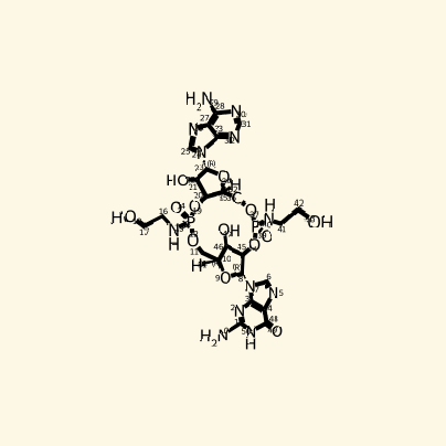 Nc1nc2c(ncn2[C@@H]2O[C@@H]3COP(=O)(NCCO)OC4C(O)[C@H](n5cnc6c(N)ncnc65)O[C@@H]4COP(=O)(NCCO)OC2C3O)c(=O)[nH]1